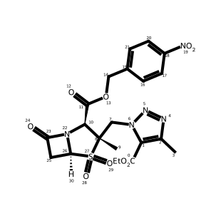 CCOC(=O)c1c(C)nnn1C[C@@]1(C)[C@H](C(=O)OCc2ccc([N+](=O)[O-])cc2)N2C(=O)C[C@@H]2S1(=O)=O